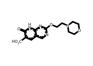 O=C(O)c1cc2cnc(OCCN3CCOCC3)nc2[nH]c1=O